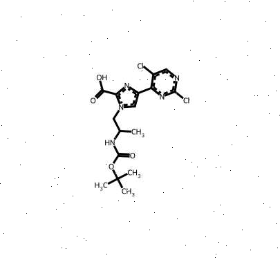 CC(Cn1cc(-c2nc(Cl)ncc2Cl)nc1C(=O)O)NC(=O)OC(C)(C)C